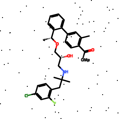 COC(=O)c1ccc(-c2ccccc2[C@@H](C)OC[C@H](O)CNC(C)(C)Cc2ccc(Cl)cc2F)cc1C